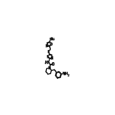 CC(C)(C)c1cnc(CSc2cnc(NC(=O)N3CCCCC3Cc3cccc(N)c3)s2)o1